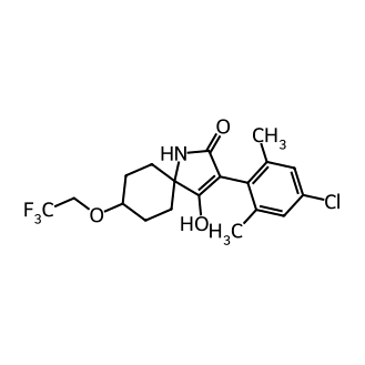 Cc1cc(Cl)cc(C)c1C1=C(O)C2(CCC(OCC(F)(F)F)CC2)NC1=O